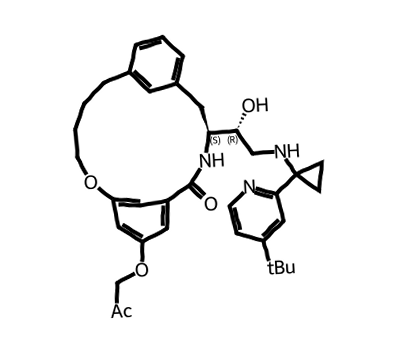 CC(=O)COc1cc2cc(c1)C(=O)N[C@H]([C@H](O)CNC1(c3cc(C(C)(C)C)ccn3)CC1)Cc1cccc(c1)CCCCO2